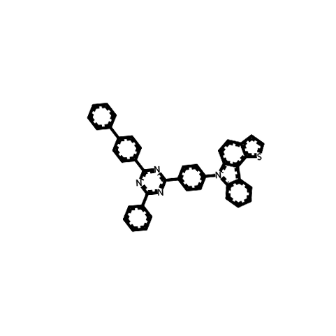 c1ccc(-c2ccc(-c3nc(-c4ccccc4)nc(-c4ccc(-n5c6ccccc6c6c7sccc7ccc65)cc4)n3)cc2)cc1